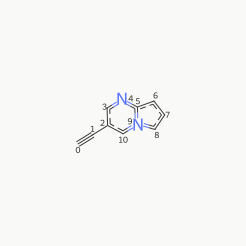 C#Cc1cnc2cccn2c1